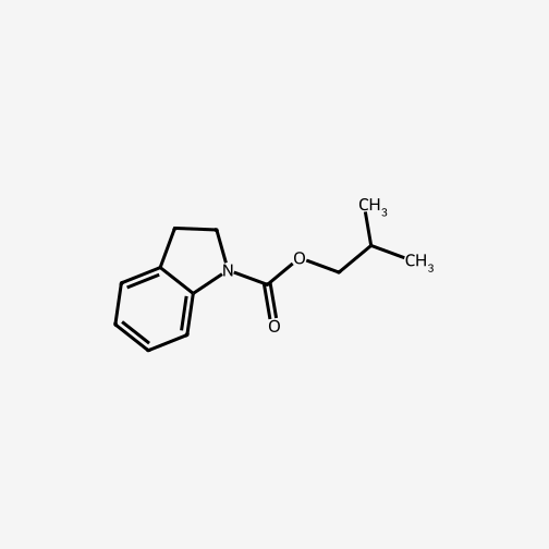 CC(C)COC(=O)N1CCc2ccccc21